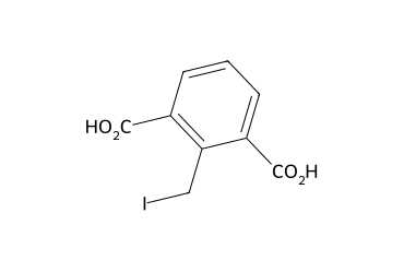 O=C(O)c1cccc(C(=O)O)c1CI